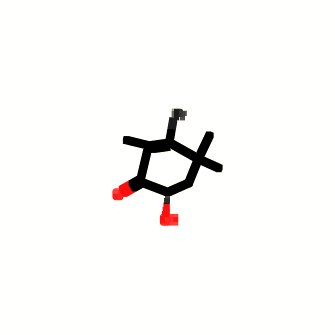 CC1=C(C(C)C)C(C)(C)C[C@H](O)C1=O